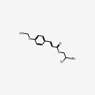 CCCCC(CC)COC(=O)/C=C/c1ccc(OCO)cc1